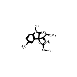 C=C(C(=O)OC)C1(OC(=O)OC(C)(C)C)C(=O)N(CCCC)c2ccc(C)cc21